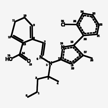 CCCC(C)N(/N=C/C1=CCCC=C1C(=O)O)c1nc(-c2ccccc2Cl)c(C)s1